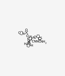 N#Cc1c(N2C[C@H]3CC[C@@H](C2)N3)nc(OCC2(CN3CCOCC3)COC2)nc1N1CC2(CCc3sc(N)c(C#N)c32)C1